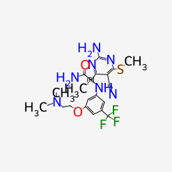 CSc1nc(N)nc([C@@](C)(Nc2cc(OCCN(C)C)cc(C(F)(F)F)c2)C(N)=O)c1C#N